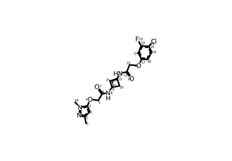 Cc1cc(OCC(=O)NC23CC(NC(=O)COc4ccc(Cl)c(F)c4)(C2)C3)n(C)n1